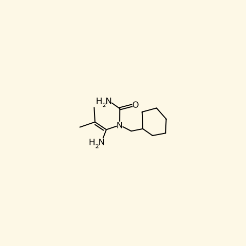 CC(C)=C(N)N(CC1CCCCC1)C(N)=O